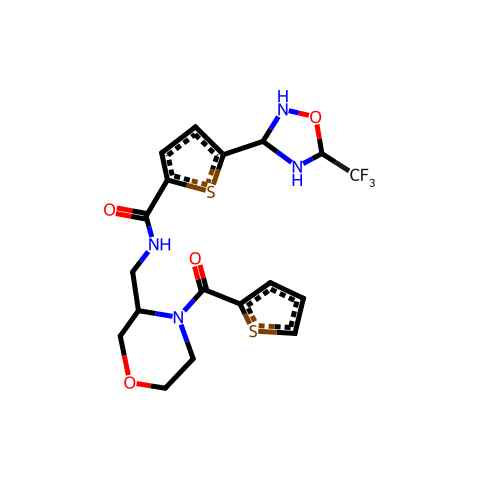 O=C(NCC1COCCN1C(=O)c1cccs1)c1ccc(C2NOC(C(F)(F)F)N2)s1